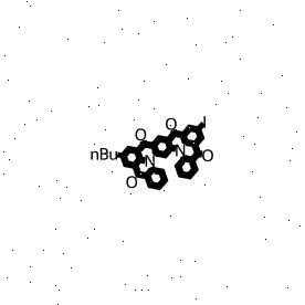 CCCCc1cc2c(=O)c3ccccc3n3c4cc5c(cc4c(=O)c(c1)c23)c(=O)c1cc(I)cc2c(=O)c3ccccc3n5c21